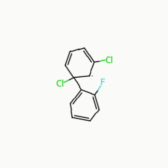 Fc1ccccc1C1(Cl)[CH]C(Cl)=CC=C1